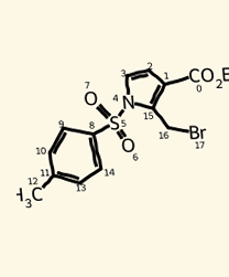 CCOC(=O)c1ccn(S(=O)(=O)c2ccc(C)cc2)c1CBr